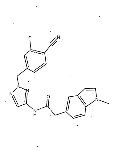 Cn1ccc2cc(CC(=O)Nc3cnn(Cc4ccc(C#N)c(F)c4)n3)ccc21